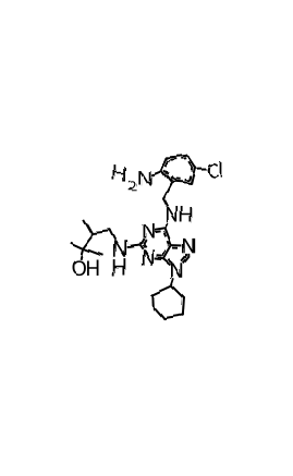 CC(CNc1nc(NCc2cc(Cl)ccc2N)c2ncn(C3CCCCC3)c2n1)C(C)(C)O